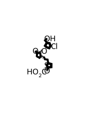 O=C(O)Oc1ccc(CCC[C@H]2CCC(=O)[C@@H]2COc2cc(Cl)cc(CO)c2)s1